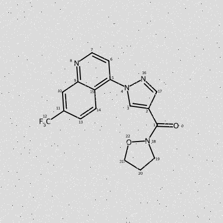 O=C(c1[c]n(-c2ccnc3cc(C(F)(F)F)ccc23)nc1)N1CCCO1